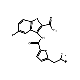 CC(C)N(C)Cc1ccc(C(=O)Nc2c(C(N)=O)oc3ccc(F)cc23)o1